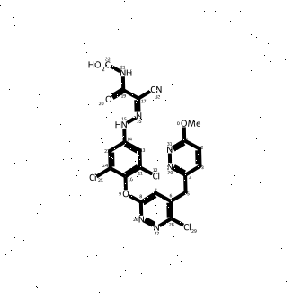 COc1ccc(Cc2cc(Oc3c(Cl)cc(N/N=C(/C#N)C(=O)NC(=O)O)cc3Cl)nnc2Cl)nn1